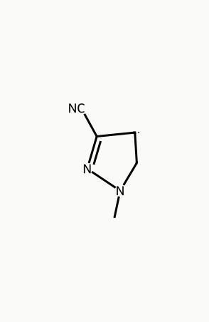 CN1C[CH]C(C#N)=N1